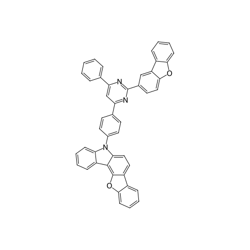 c1ccc(-c2cc(-c3ccc(-n4c5ccccc5c5c6oc7ccccc7c6ccc54)cc3)nc(-c3ccc4oc5ccccc5c4c3)n2)cc1